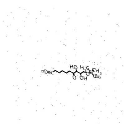 CCCCCCCCCCCCCCCC(=O)C(O)C(O)CO[Si](C)(C)C(C)(C)C